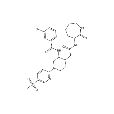 CS(=O)(=O)c1ccc(N2CCC(CC(=O)NC3CCCCNC3=O)C(NC(=O)c3cccc(Cl)c3)C2)nc1